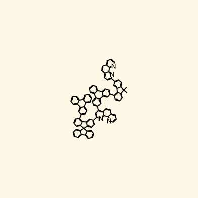 CC1(C)c2ccc(-c3ccc4ccc5cccnc5c4n3)cc2-c2c(-c3ccc4c5ccccc5c5ccc(-c6cc(-c7ccc8c(c7)-c7c(-c9ccc%10c%11ccccc%11c%11ccccc%11c%10c9)cccc7C87c8ccccc8-c8ccccc87)nc7c6ccc6cccnc67)cc5c4c3)cccc21